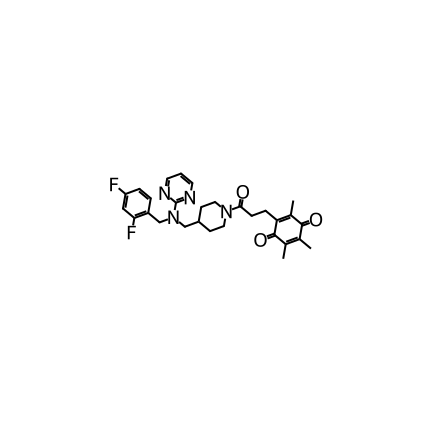 CC1=C(C)C(=O)C(CCC(=O)N2CCC(CN(Cc3ccc(F)cc3F)c3ncccn3)CC2)=C(C)C1=O